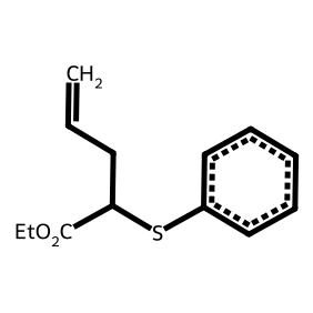 C=CCC(Sc1ccccc1)C(=O)OCC